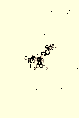 CC(C)(C)OC(=O)N1CCCC2(CCCN(C[C@H]3O[C@@H](n4ccc5c(Cl)ncnc54)[C@@H]4OC(C)(C)O[C@@H]43)C2)C1